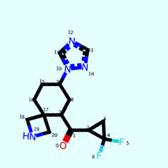 O=C(C1CC1(F)F)C1CC(n2cncn2)CCC12CNC2